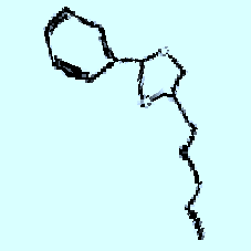 CCCCCC1COC(c2ccccc2)O1